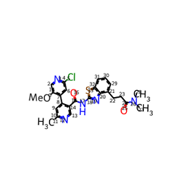 COc1cnc(Cl)cc1-c1cc(C)ncc1C(=O)Nc1nc2c(CCC(=O)N(C)C)cccc2s1